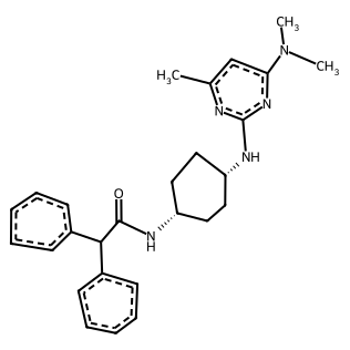 Cc1cc(N(C)C)nc(N[C@H]2CC[C@@H](NC(=O)C(c3ccccc3)c3ccccc3)CC2)n1